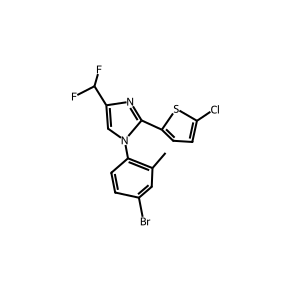 Cc1cc(Br)ccc1-n1cc(C(F)F)nc1-c1ccc(Cl)s1